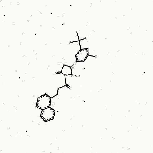 C[C@H]1[C@@H](c2cc(Br)cc(C(F)(F)F)c2)OC(=O)N1C(=O)CCc1cncc2ccccc12